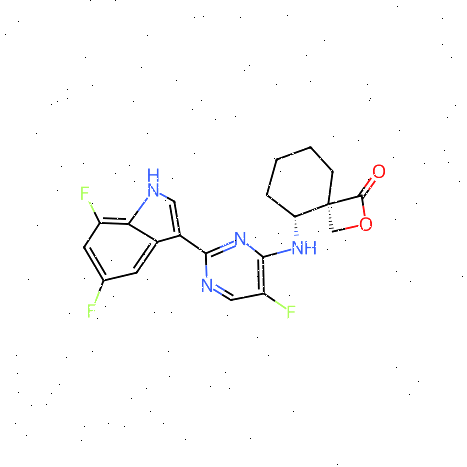 O=C1OC[C@]12CCCC[C@H]2Nc1nc(-c2c[nH]c3c(F)cc(F)cc23)ncc1F